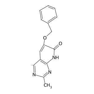 Cc1n[c]c2cc(OCc3ccccc3)c(=O)[nH]c2n1